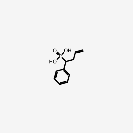 C=CCC(c1ccccc1)P(=O)(O)O